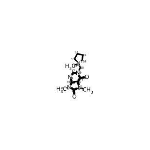 Cn1c(=O)n(C)c2c(=O)n(C[N+]3(C)CCCC3)cnc21